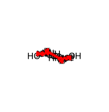 CCN(CCO)c1ccc(/N=N/c2cc[n+](CC(=O)NCCSSCCNC(=O)C[n+]3ccc(/N=N/c4ccc(N(CC)CCO)cc4)c4ccccc43)c3ccccc23)cc1